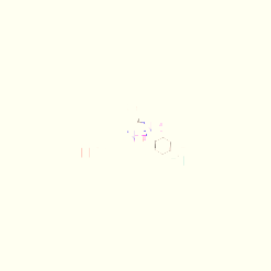 COc1cc(C(F)(F)F)cc(SC)c1C(=O)N[C@@H]1COCCC1NC1CCC(O)CC1